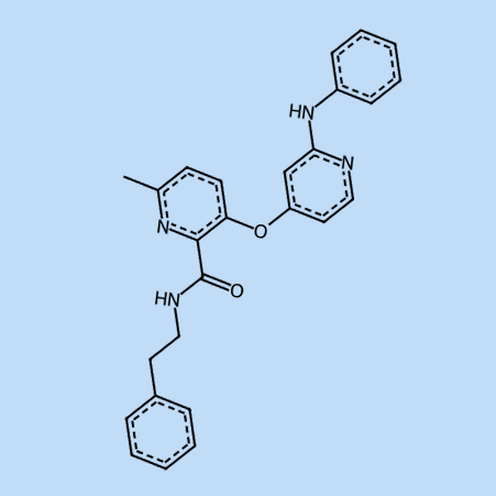 Cc1ccc(Oc2ccnc(Nc3ccccc3)c2)c(C(=O)NCCc2ccccc2)n1